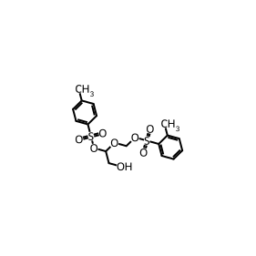 Cc1ccc(S(=O)(=O)OC(CO)OCOS(=O)(=O)c2ccccc2C)cc1